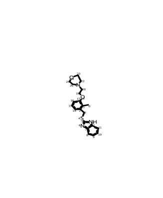 Cc1c(CSc2nc3ccccc3[nH]2)cccc1OCCN1CCOCC1